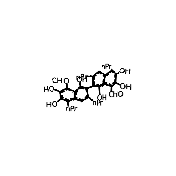 CCCc1cc2c(CCC)c(O)c(O)c(C=O)c2c(O)c1-c1c(CCC)cc2c(CCC)c(O)c(O)c(C=O)c2c1O